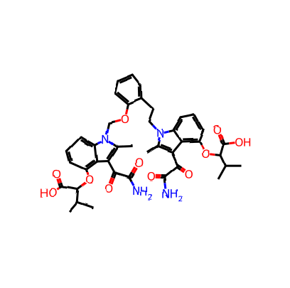 Cc1c(C(=O)C(N)=O)c2c(OC(C(=O)O)C(C)C)cccc2n1CCc1ccccc1OCn1c(C)c(C(=O)C(N)=O)c2c(OC(C(=O)O)C(C)C)cccc21